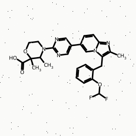 Cc1nc2ccc(-c3cnc(N4CCOC(C)(C(=O)O)C4C)nc3)cn2c1Cc1ccccc1OC(F)F